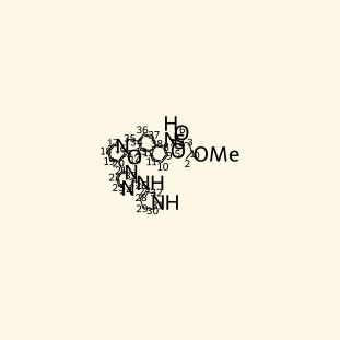 COC(C)CS(=O)(=O)Nc1cccc2c(Oc3ncccc3-c3ccnc(NC4CCCNC4)n3)c(C)ccc12